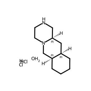 C1CC[C@H]2CN3CCNC[C@H]3C[C@H]2C1.Cl.Cl.O